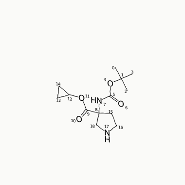 CC(C)(C)OC(=O)NC1(C(=O)OC2CC2)CCNC1